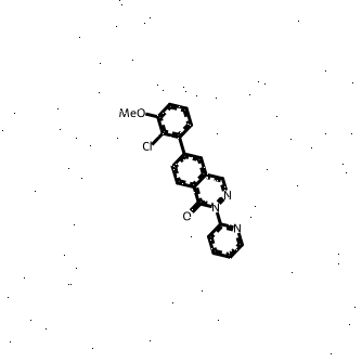 COc1cccc(-c2ccc3c(=O)n(-c4ccccn4)ncc3c2)c1Cl